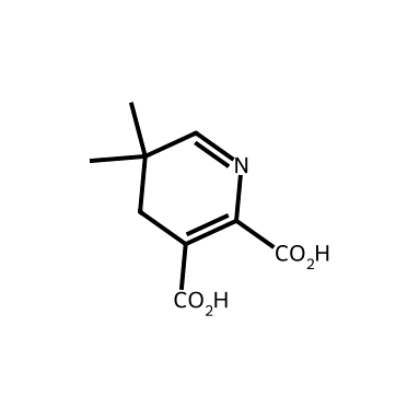 CC1(C)C=NC(C(=O)O)=C(C(=O)O)C1